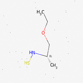 CCOC[C@H](C)NS